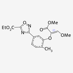 CCOC(=O)c1nc(-c2ccc(C)c(O/C(=C\OC)C(=O)OC)c2)no1